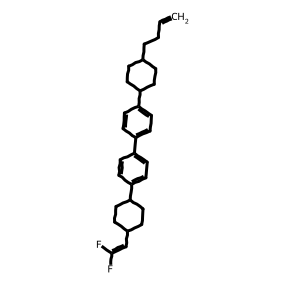 C=CCCC1CCC(c2ccc(-c3ccc(C4CCC(C=C(F)F)CC4)cc3)cc2)CC1